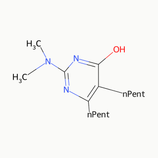 CCCCCc1nc(N(C)C)nc(O)c1CCCCC